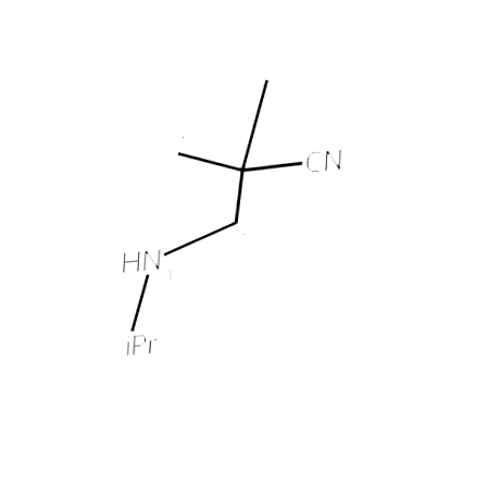 CC(C)NCC(C)(C)C#N